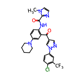 Cn1ccnc1C(=O)Nc1ccc(N2CCCCC2)cc1C(=O)c1cnn(-c2ccc(Cl)c(C(F)(F)F)c2)c1